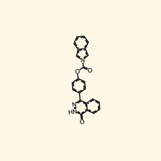 O=C(Oc1ccc(-c2n[nH]c(=O)c3ccccc23)cc1)n1cc2ccccc2c1